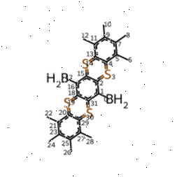 Bc1c2sc3c(C)c(C)c(C)c(C)c3sc2c(B)c2sc3c(C)c(C)c(C)c(C)c3sc12